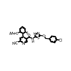 COc1cccc(F)c1-c1cc(C#N)ncc1C(=O)Nc1nnc(OCc2ccc(Cl)cc2)s1